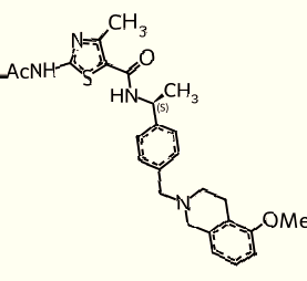 COc1cccc2c1CCN(Cc1ccc([C@H](C)NC(=O)c3sc(NC(C)=O)nc3C)cc1)C2